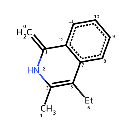 C=C1NC(C)=C(CC)c2ccccc21